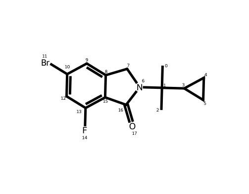 CC(C)(C1CC1)N1Cc2cc(Br)cc(F)c2C1=O